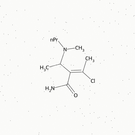 CCCN(C)C(C)/C(C(N)=O)=C(\C)Cl